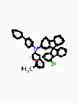 C/C=C\C=C/C(=Cc1ccccc1)N(c1ccc(-c2ccccc2)cc1)c1ccc2c(c1)C1(c3ccccc3-2)c2ccccc2-c2c(Br)cccc21